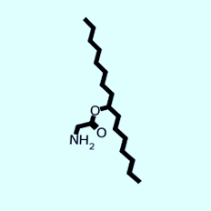 CCCCCCCCC(CCCCCCC)OC(=O)CN